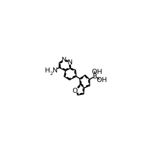 Nc1cnnc2cc(-c3cc(B(O)O)cc4ccoc34)ccc12